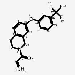 C=CC(=O)N1CCc2ccc(Oc3cccc(C(F)(F)F)c3)cc2C1